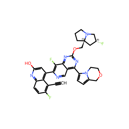 C#Cc1c(F)ccc2nc(O)cc(-c3ncc4c(-c5ccc6n5CCOC6)nc(OC[C@@]56CCCN5C[C@H](F)C6)nc4c3F)c12